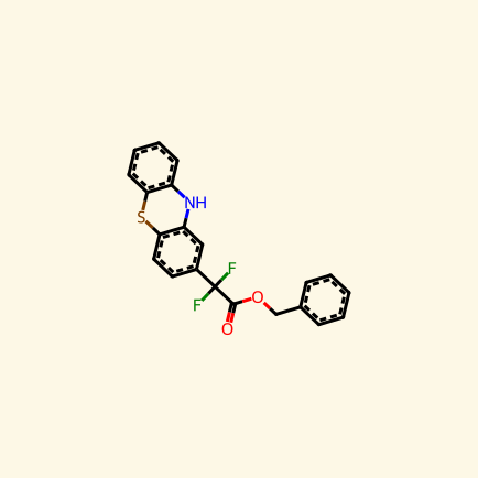 O=C(OCc1ccccc1)C(F)(F)c1ccc2c(c1)Nc1ccccc1S2